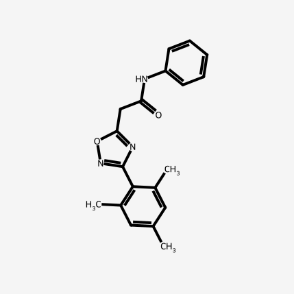 Cc1cc(C)c(-c2noc(CC(=O)Nc3ccccc3)n2)c(C)c1